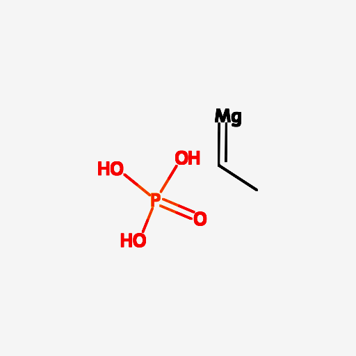 C[CH]=[Mg].O=P(O)(O)O